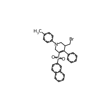 Cc1ccc(N2CC(S(=O)(=O)c3ccc4ccccc4c3)=C(c3ccccc3)C(CBr)C2)cc1